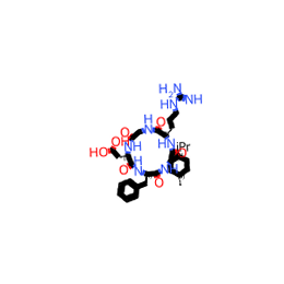 CC(C)[C@H]1CC[C@H](C)CC12NC(=O)[C@@H](Cc1ccccc1)NC(=O)[C@H](CC(O)O)NC(=O)CNC(=O)[C@H](CCCNC(=N)N)NC2=O